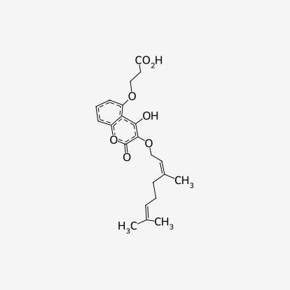 CC(C)=CCCC(C)=CCOc1c(O)c2c(OCCC(=O)O)cccc2oc1=O